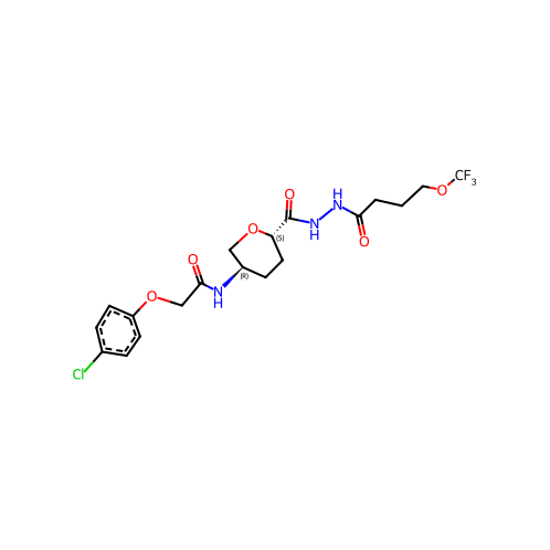 O=C(CCCOC(F)(F)F)NNC(=O)[C@@H]1CC[C@@H](NC(=O)COc2ccc(Cl)cc2)CO1